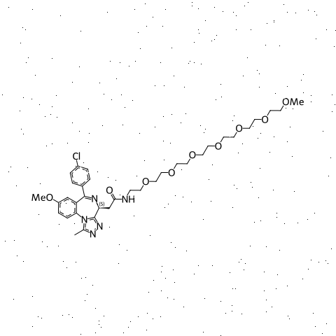 COCCOCCOCCOCCOCCOCCOCCNC(=O)C[C@@H]1N=C(c2ccc(Cl)cc2)c2cc(OC)ccc2-n2c(C)nnc21